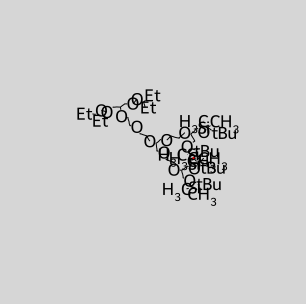 CCC(CC)OOCC(COOC(CC)CC)OCCOCCOC(COCCOC(CO[Si](C)(C)C(C)(C)C)CO[Si](C)(C)C(C)(C)C)COCCOC(CO[Si](C)(C)C(C)(C)C)CO[Si](C)(C)C(C)(C)C